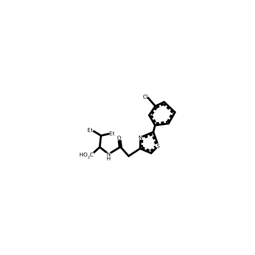 CCC(CC)C(NC(=O)Cc1csc(-c2cccc(Cl)c2)n1)C(=O)O